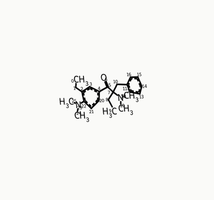 CCc1cc(C(=O)C(CC)(Cc2ccccc2)N(C)C)ccc1N(C)C